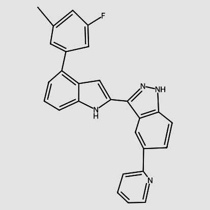 Cc1cc(F)cc(-c2cccc3[nH]c(-c4n[nH]c5ccc(-c6ccccn6)cc45)cc23)c1